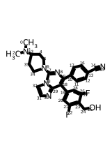 CN(C)C1CCN(c2nc(-c3ccc(C#N)cc3)c(-c3cc(F)c(CO)c(F)c3)c3nccn23)CC1